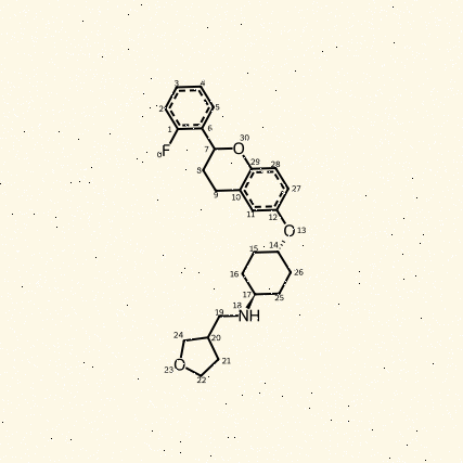 Fc1ccccc1C1CCc2cc(O[C@H]3CC[C@H](NCC4CCOC4)CC3)ccc2O1